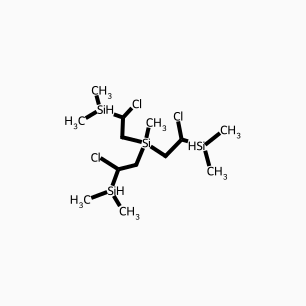 C[SiH](C)C(Cl)C[Si](C)(CC(Cl)[SiH](C)C)CC(Cl)[SiH](C)C